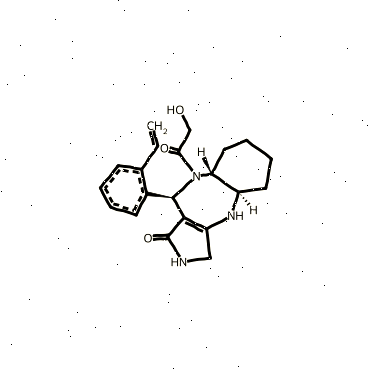 C=Cc1ccccc1[C@@H]1C2=C(CNC2=O)N[C@@H]2CCCC[C@H]2N1C(=O)CO